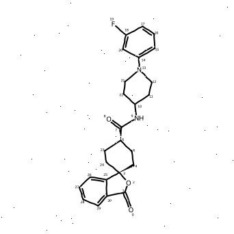 O=C1O[C@]2(CC[C@H](C(=O)NC3CCN(c4cccc(F)c4)CC3)CC2)c2ccccc21